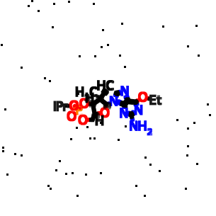 C#C[C@]1(C)[C@@H]2OP(=O)(OC(C)C)OC[C@H]2O[C@H]1n1cnc2c(OCC)nc(N)nc21